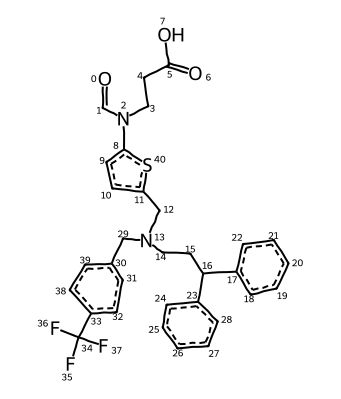 O=CN(CCC(=O)O)c1ccc(CN(CCC(c2ccccc2)c2ccccc2)Cc2ccc(C(F)(F)F)cc2)s1